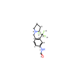 O=CNc1ccc(CN2CCCC2)c(C(F)(F)F)c1